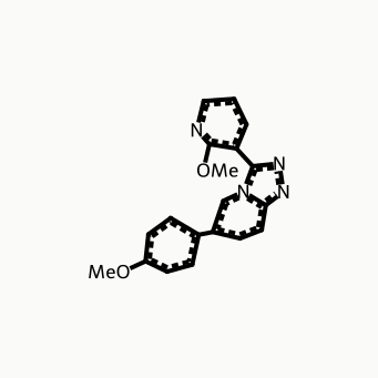 COc1ccc(-c2ccc3nnc(-c4cccnc4OC)n3c2)cc1